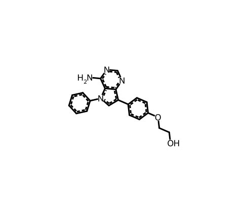 Nc1ncnc2c(-c3ccc(OCCO)cc3)cn(-c3ccccc3)c12